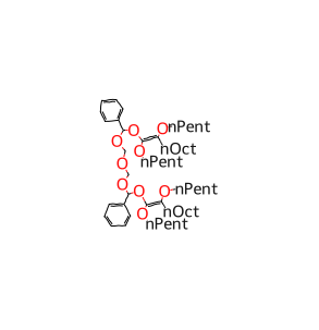 CCCCCCCCC(OCCCCC)=C(OCCCCC)OC(OCOCOC(OC(OCCCCC)=C(CCCCCCCC)OCCCCC)c1ccccc1)c1ccccc1